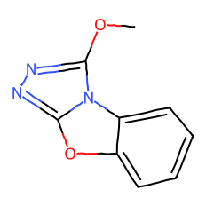 COc1nnc2oc3ccccc3n12